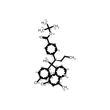 CCC[C@H](c1ccc(C(=O)OC(C)(C)C)cc1)C(O)(c1ccc(Cl)cc1)c1ccnc2c(C)cc(Cl)cc12